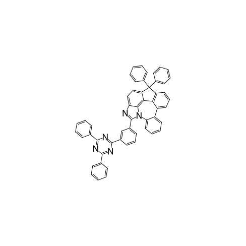 c1ccc(-c2nc(-c3ccccc3)nc(-c3cccc(-c4nc5ccc6c7c5n4-c4ccccc4-c4cccc(c4-7)C6(c4ccccc4)c4ccccc4)c3)n2)cc1